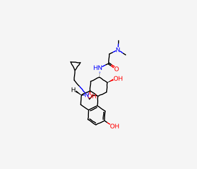 CN(C)CC(=O)N[C@H]1C[C@@]2(O)[C@H]3Cc4ccc(O)cc4[C@@]2(CCN3CC2CC2)C[C@@H]1O